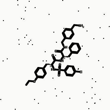 CCOc1ccc(C[C@@H](NS(=O)(=O)c2ccc(Cl)cc2)C(=O)N[C@@H](Cc2ccccc2)C(=O)NCc2ccc(CN)cc2)cc1